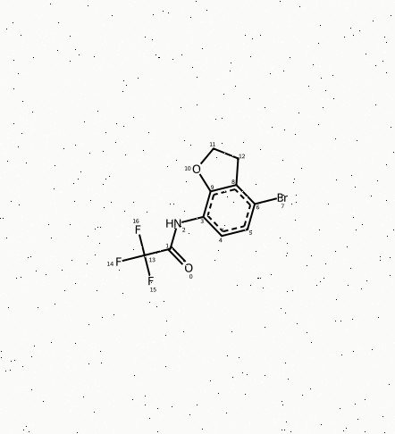 O=C(Nc1ccc(Br)c2c1OCC2)C(F)(F)F